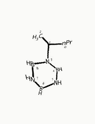 CCCC(C)N1BNBNB1